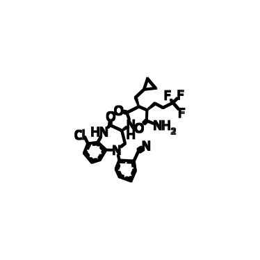 N#Cc1ccccc1N1C[C@H](NC(=O)[C@@H](CC2CC2)[C@@H](CCC(F)(F)F)C(N)=O)C(=O)Nc2c(Cl)cccc21